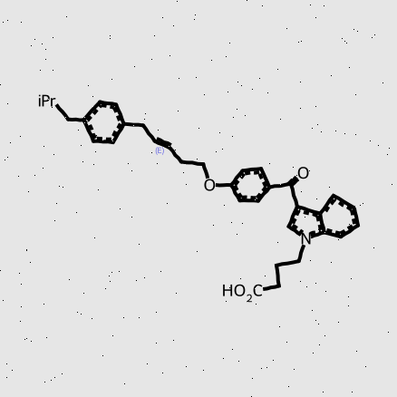 CC(C)Cc1ccc(C/C=C/CCOc2ccc(C(=O)c3cn(CCCC(=O)O)c4ccccc34)cc2)cc1